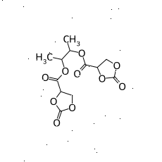 CC(OC(=O)C1COC(=O)O1)C(C)OC(=O)C1COC(=O)O1